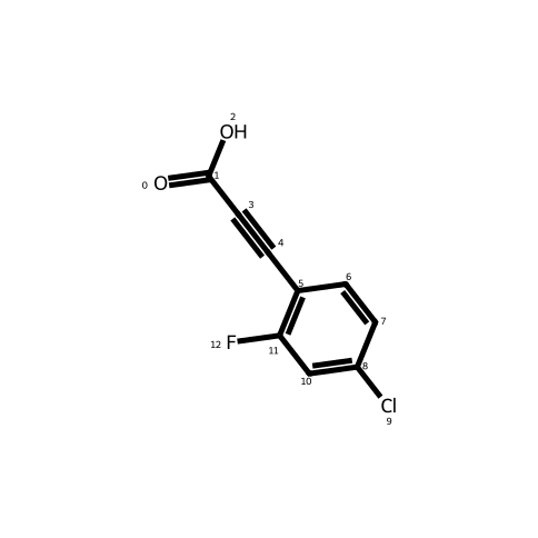 O=C(O)C#Cc1ccc(Cl)cc1F